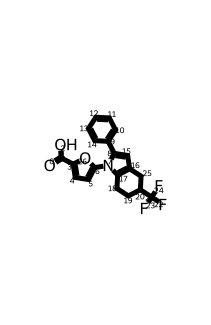 O=C(O)c1ccc(-n2c(-c3ccccc3)cc3c2CCC(C(F)(F)F)C3)o1